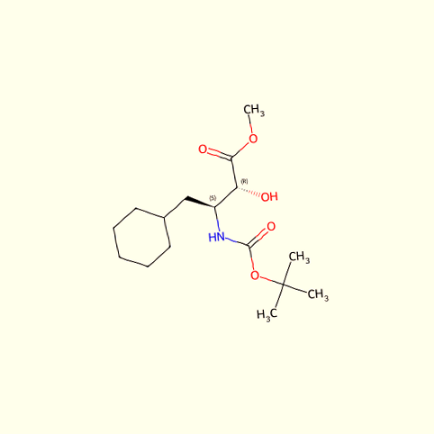 COC(=O)[C@H](O)[C@H](CC1CCCCC1)NC(=O)OC(C)(C)C